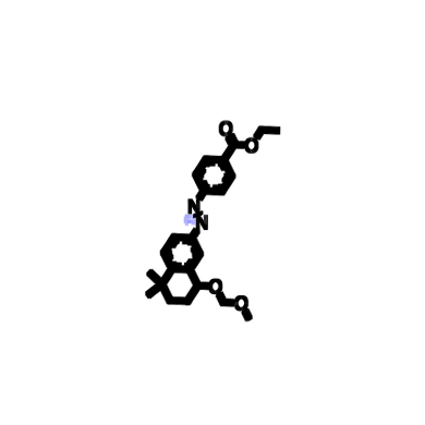 CCOC(=O)c1ccc(/N=N/c2ccc3c(c2)C(OCOC)CCC3(C)C)cc1